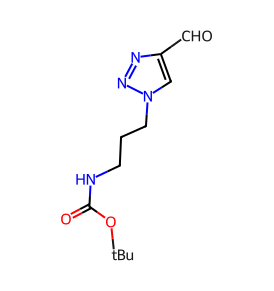 CC(C)(C)OC(=O)NCCCn1cc(C=O)nn1